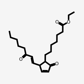 CCCCCC(=O)C=CC1C=CC(=O)C1CCCCCCC(=O)OCC